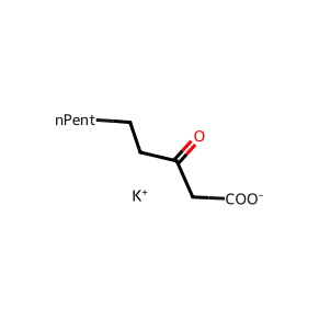 CCCCCCCC(=O)CC(=O)[O-].[K+]